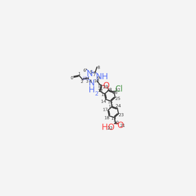 C=C/C=C(/N)N(C)C(C)NCc1cc2cc(-c3ccc(C(=O)O)cc3)cc(Cl)c2o1